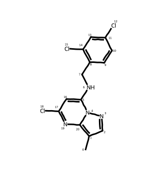 Cc1cnn2c(NCc3ccc(Cl)cc3Cl)cc(Cl)nc12